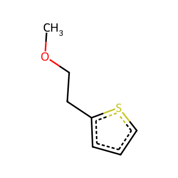 COCCc1cccs1